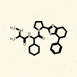 CNC(C)C(=O)NC(C(=O)N1CCCC1c1nc2c(s1)C(c1ccccc1)CCC2)C1CCCCC1